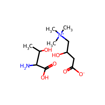 CC(O)C(N)C(=O)O.C[N+](C)(C)CC(O)CC(=O)[O-]